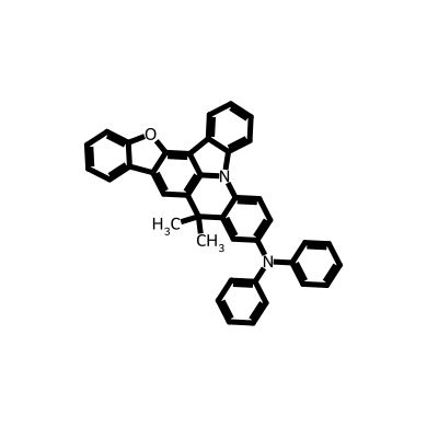 CC1(C)c2cc(N(c3ccccc3)c3ccccc3)ccc2-n2c3ccccc3c3c4oc5ccccc5c4cc1c32